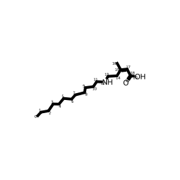 CCCCCCCCCCCCNCC/C(C)=C\C(=O)O